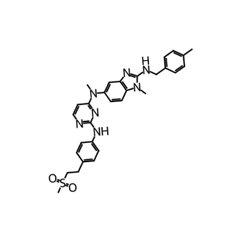 Cc1ccc(CNc2nc3cc(N(C)c4ccnc(Nc5ccc(CCS(C)(=O)=O)cc5)n4)ccc3n2C)cc1